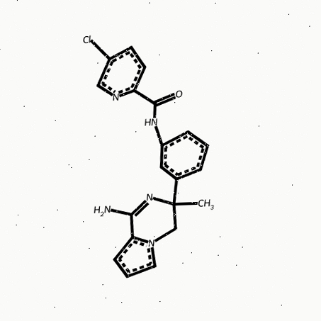 CC1(c2cccc(NC(=O)c3ccc(Cl)cn3)c2)Cn2cccc2C(N)=N1